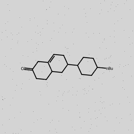 CCCCC1CCC(C2CC=C3CC(=O)CCC3C2)CC1